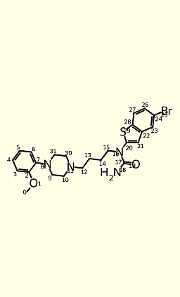 COc1ccccc1N1CCN(CCCCN(C(N)=O)c2cc3cc(Br)ccc3s2)CC1